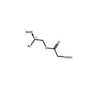 CCCCCCCC(=O)OC[C@H](NC)C(C)=O